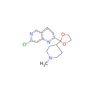 CN1CCC(C2(c3ccc4cnc(Cl)cc4n3)OCCO2)CC1